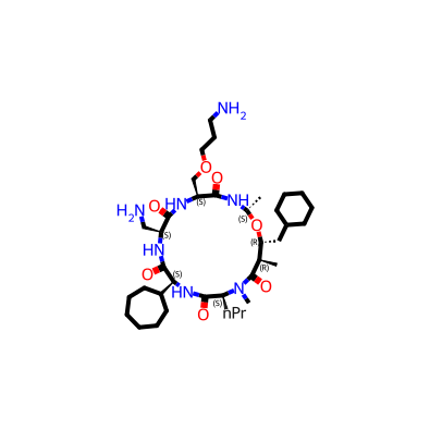 CCC[C@H]1C(=O)N[C@@H](C2CCCCCC2)C(=O)N[C@@H](CN)C(=O)N[C@@H](COCCCN)C(=O)N[C@H](C)O[C@H](CC2CCCCC2)[C@@H](C)C(=O)N1C